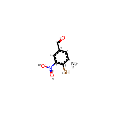 O=Cc1ccc(S)c([N+](=O)[O-])c1.[Na]